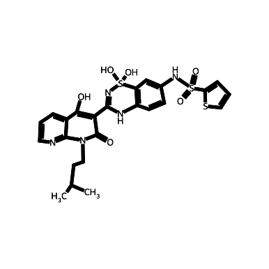 CC(C)CCn1c(=O)c(C2=NS(O)(O)c3cc(NS(=O)(=O)c4cccs4)ccc3N2)c(O)c2cccnc21